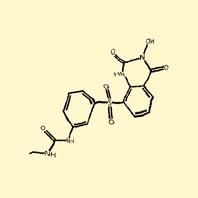 CNC(=O)Nc1cccc(S(=O)(=O)c2cccc3c(=O)n(O)c(=O)[nH]c23)c1